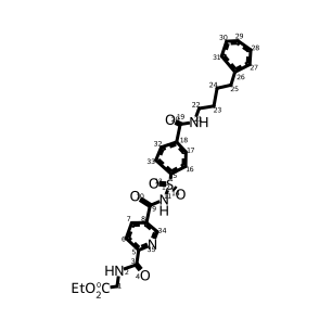 CCOC(=O)CNC(=O)c1ccc(C(=O)NS(=O)(=O)c2ccc(C(=O)NCCCCc3ccccc3)cc2)cn1